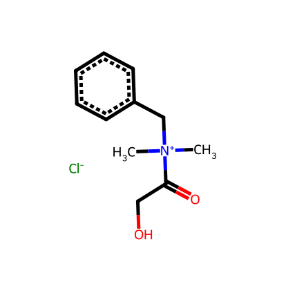 C[N+](C)(Cc1ccccc1)C(=O)CO.[Cl-]